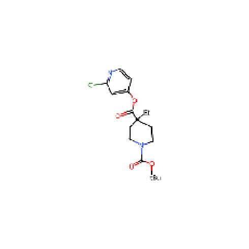 CCC1(C(=O)Oc2ccnc(Cl)c2)CCN(C(=O)OC(C)(C)C)CC1